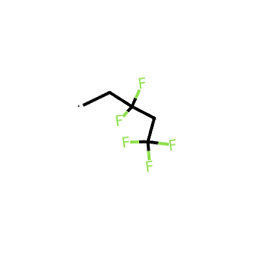 [CH2]CC(F)(F)CC(F)(F)F